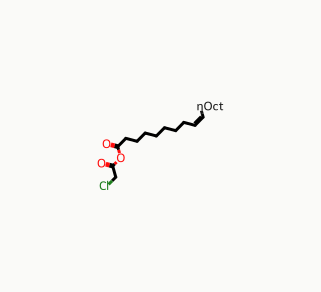 CCCCCCCC/C=C\CCCCCCCC(=O)OC(=O)CCl